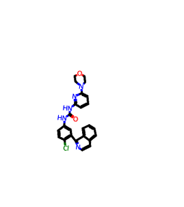 O=C(Nc1ccc(Cl)c(-c2nccc3ccccc23)c1)Nc1cccc(N2CCOCC2)n1